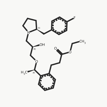 CCOC(=O)CCc1ccccc1[C@@H](C)OC[C@H](O)CN1CCC[C@H]1Cc1ccc(F)cc1